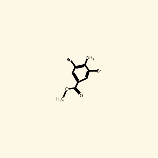 COC(=O)c1cc(Br)c(N)c(Br)c1